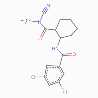 CN(C#N)C(=O)C1CCCCC1NC(=O)c1cc(Cl)cc(Cl)c1